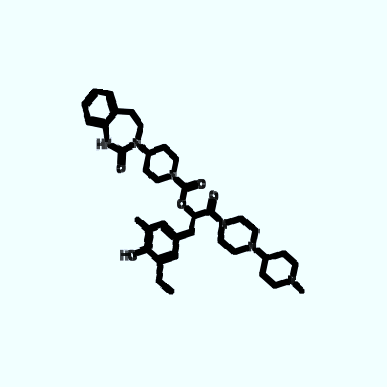 CCc1cc(C[C@@H](OC(=O)N2CCC(N3CCc4ccccc4NC3=O)CC2)C(=O)N2CCN(C3CCN(C)CC3)CC2)cc(C)c1O